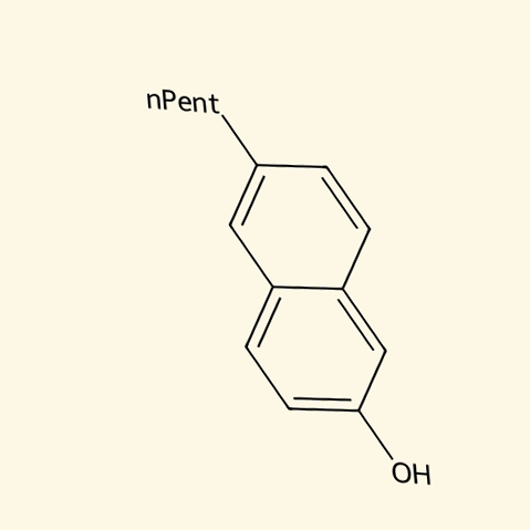 CCCCCc1ccc2cc(O)ccc2c1